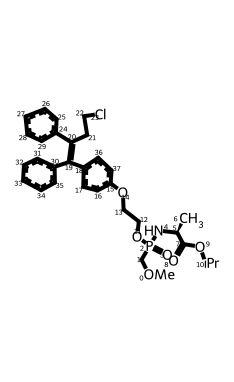 COCP(=O)(N[C@@H](C)C(=O)OC(C)C)OCCOc1ccc(/C(=C(\CCCl)c2ccccc2)c2ccccc2)cc1